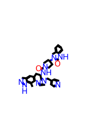 Cc1cc(CC(NC(=O)N2CCC(N3Cc4ccccc4NC3=O)CC2)c2nccn2Cc2ccncc2)cc2cn[nH]c12